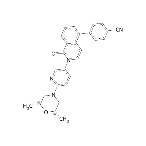 C[C@@H]1CN(c2ccc(-n3ccc4c(-c5ccc(C#N)cc5)cccc4c3=O)cn2)C[C@H](C)O1